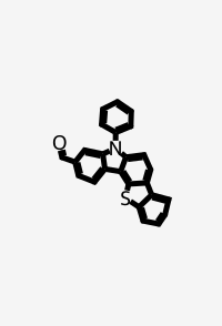 O=Cc1ccc2c3c4sc5ccccc5c4ccc3n(-c3ccccc3)c2c1